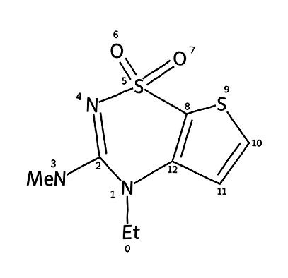 CCN1C(NC)=NS(=O)(=O)c2sccc21